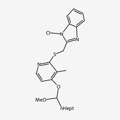 CCCCCCCC(OC)Oc1ccnc(SCc2nc3ccccc3n2Cl)c1C